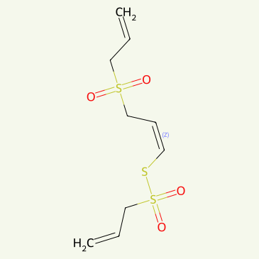 C=CCS(=O)(=O)C/C=C\SS(=O)(=O)CC=C